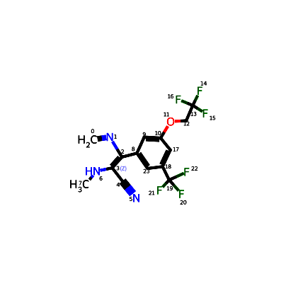 C=N/C(=C(/C#N)NC)c1cc(OCC(F)(F)F)cc(C(F)(F)F)c1